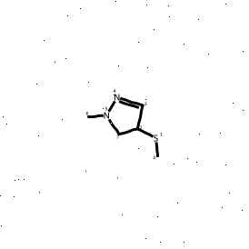 CSC1C=NN(C)C1